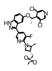 C[C@H](Oc1ccc2[nH]nc(-c3cnc(N4C[C@@H](CS(C)(=O)=O)[C@@H]4C)c(F)c3)c2c1)c1c(Cl)cncc1Cl